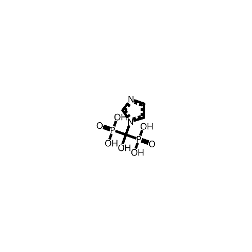 O=P(O)(O)C(O)(n1ccnc1)P(=O)(O)O